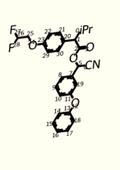 CC(C)C(C(=O)OC(C#N)c1cccc(Oc2ccccc2)c1)c1ccc(OCC(F)F)cc1